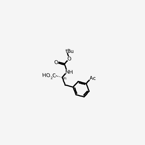 CC(=O)c1cccc(C[C@@H](NC(=O)OC(C)(C)C)C(=O)O)c1